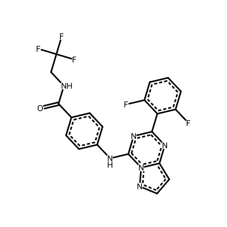 O=C(NCC(F)(F)F)c1ccc(Nc2nc(-c3c(F)cccc3F)nc3ccnn23)cc1